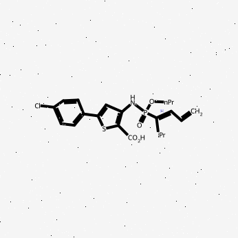 C=C/C=C(\C(C)C)P(=O)(Nc1cc(-c2ccc(Cl)cc2)sc1C(=O)O)OCCC